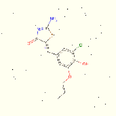 CCCOc1cc(/C=C2\SC(N)=NC2=O)cc(Cl)c1O